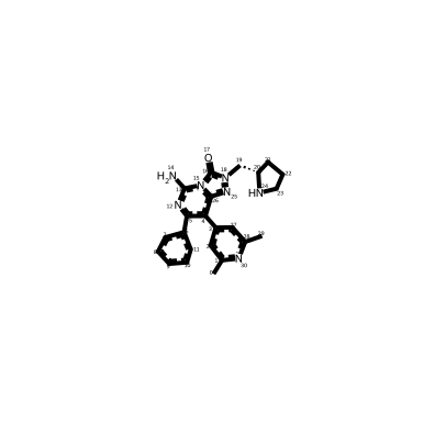 Cc1cc(-c2c(-c3ccccc3)nc(N)n3c(=O)n(C[C@@H]4CCCN4)nc23)cc(C)n1